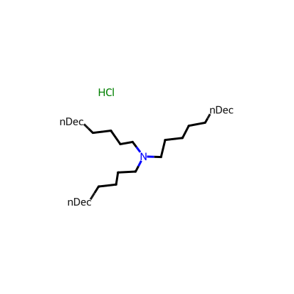 CCCCCCCCCCCCCCCN(CCCCCCCCCCCCCC)CCCCCCCCCCCCCC.Cl